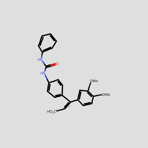 COc1ccc(/C(=C/C(=O)O)c2ccc(NC(=O)Nc3ccccc3)cc2)cc1OC